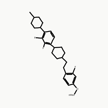 CCCCCCOc1ccc(CCC2CCC(c3ccc(C4CCC(C)CC4)c(F)c3F)CC2)c(F)c1